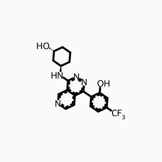 Oc1cc(C(F)(F)F)ccc1-c1nnc(N[C@@H]2CCC[C@@H](O)C2)c2cnccc12